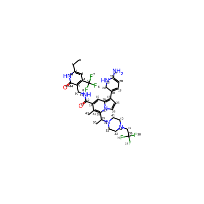 CCc1cc(C(F)(F)F)c(CNC(=O)c2cc3c(C4=CC=C(N)NC4)ccn3c(C(C)N3CCN(CC(F)(F)F)CC3)c2C)c(=O)[nH]1